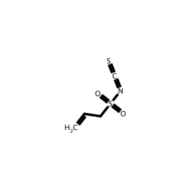 C=CCS(=O)(=O)N=C=S